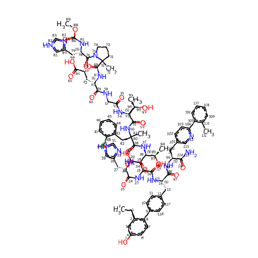 CCc1cc(O)ccc1-c1ccc(C[C@H](NC(=O)[C@H](CC(=O)O)NC(=O)[C@H](Cc2c[nH]cn2)NC(=O)[C@@H](NC(=O)C(C)(Cc2ccccc2F)NC(=O)[C@@H](NC(=O)CNC(=O)[C@H](CCC(=O)O)NC(=O)C2(C)CCCN2C(=O)[C@H](Cc2c[nH]cn2)NC(=O)OC)[C@@H](C)O)[C@@H](C)O)C(=O)N[C@@H](Cc2ccc(-c3ccccc3C)nc2)C(N)=O)cc1